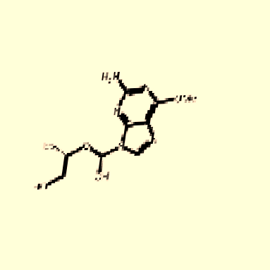 CC[C@@H](CO)O[C@H](O)n1cnc2c(OC)nc(N)nc21